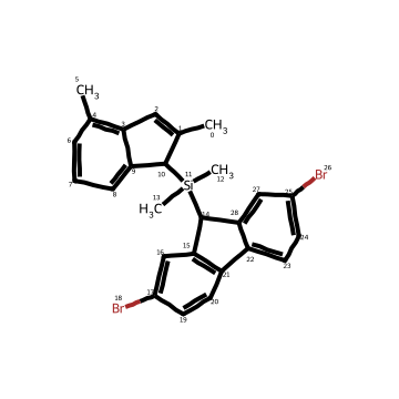 CC1=Cc2c(C)cccc2C1[Si](C)(C)C1c2cc(Br)ccc2-c2ccc(Br)cc21